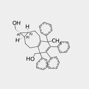 CC1(c2ccccc2)C2=C(CC[C@H]3[C@H](CO)[C@H]3CC2)C(CO)(c2ccccc2)C(c2ccccc2)=C1c1ccccc1